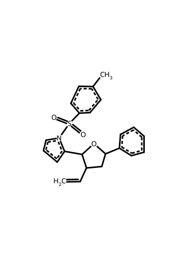 C=CC1CC(c2ccccc2)OC1c1cccn1S(=O)(=O)c1ccc(C)cc1